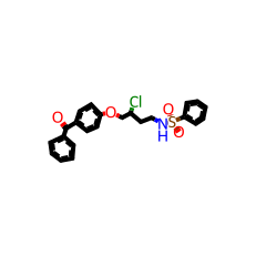 O=C(c1ccccc1)c1ccc(OCC(Cl)CCNS(=O)(=O)c2ccccc2)cc1